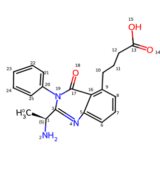 C[C@H](N)c1nc2cccc(CCCC(=O)O)c2c(=O)n1-c1ccccc1